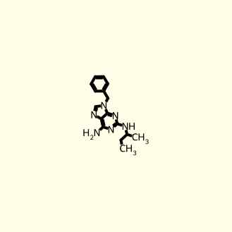 CCC(C)Nc1nc(N)c2ncn(Cc3ccccc3)c2n1